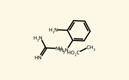 CC(=O)O.N=C(N)N.Nc1ccccc1N